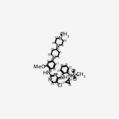 COc1cc(N2CCC(N3CCN(C)CC3)CC2)ccc1Nc1ncc(Cl)c(Nc2ccccc2N(C2CC2)S(C)(=O)=O)n1